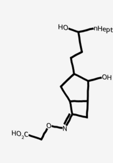 CCCCCCCC(O)CCC1CC2C(=NOCC(=O)O)CC2C1O